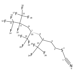 N#CSCCC(C[C@@H](CC(F)(C(F)(F)F)C(F)(F)F)C(F)(F)F)C(F)(F)F